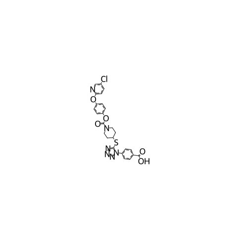 O=C(O)c1ccc(-n2nnnc2SC2CCN(C(=O)Oc3ccc(Oc4ccc(Cl)cn4)cc3)CC2)cc1